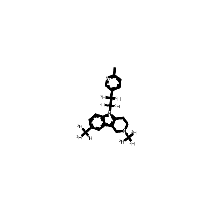 [2H]C([2H])([2H])c1ccc2c(c1)c1c(n2C([2H])([2H])C([2H])([2H])c2ccc(C)nc2)CCN(C([2H])([2H])[2H])C1